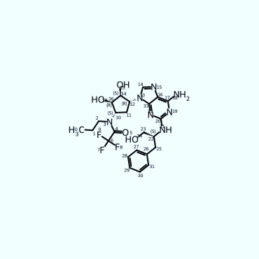 CCCN(C(=O)C(F)(F)F)[C@H]1C[C@@H](n2cnc3c(N)nc(N[C@H](CO)Cc4ccccc4)nc32)[C@H](O)[C@@H]1O